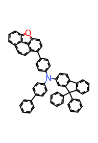 c1ccc(-c2ccc(N(c3ccc(-c4ccc5oc6cccc7ccc4c5c76)cc3)c3ccc4c(c3)C(c3ccccc3)(c3ccccc3)c3ccccc3-4)cc2)cc1